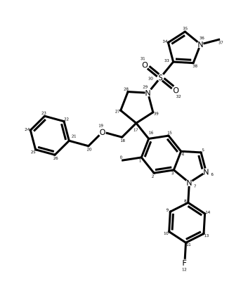 Cc1cc2c(cnn2-c2ccc(F)cc2)cc1C1(COCc2ccccc2)CCN(S(=O)(=O)c2ccn(C)c2)C1